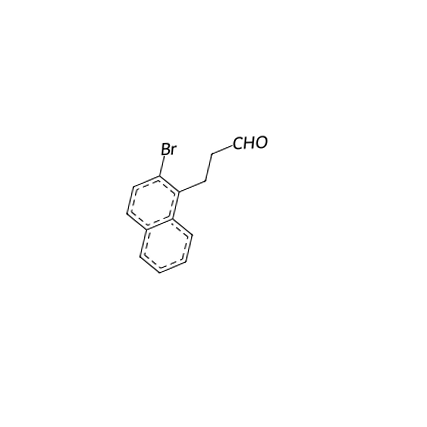 O=CCCc1c(Br)ccc2ccccc12